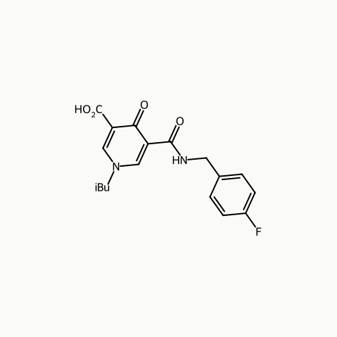 CCC(C)n1cc(C(=O)O)c(=O)c(C(=O)NCc2ccc(F)cc2)c1